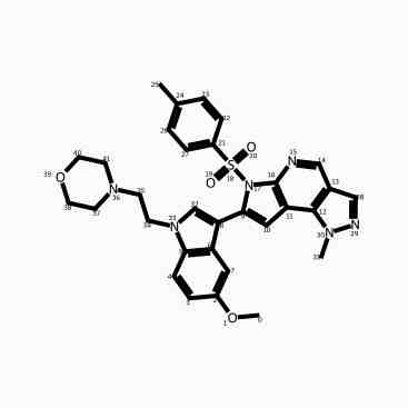 COc1ccc2c(c1)c(-c1cc3c4c(cnc3n1S(=O)(=O)c1ccc(C)cc1)cnn4C)cn2CCN1CCOCC1